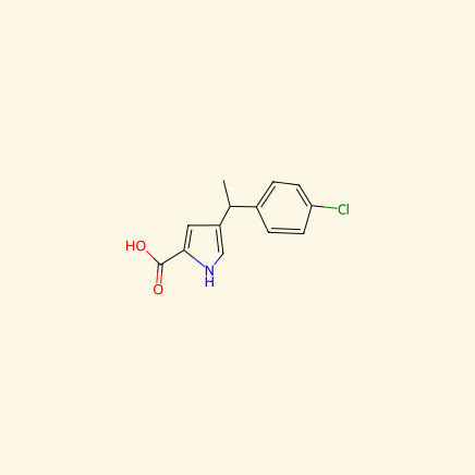 CC(c1ccc(Cl)cc1)c1c[nH]c(C(=O)O)c1